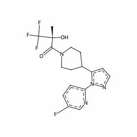 C[C@@](O)(C(=O)N1CCC(c2ccnn2-c2ccc(F)cn2)CC1)C(F)(F)F